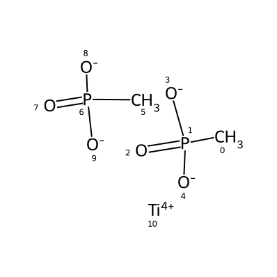 CP(=O)([O-])[O-].CP(=O)([O-])[O-].[Ti+4]